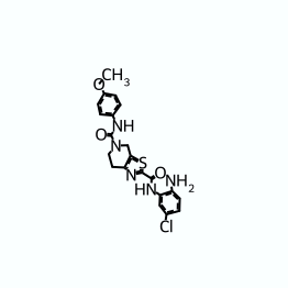 COc1ccc(NC(=O)N2CCc3nc(C(=O)Nc4cc(Cl)ccc4N)sc3C2)cc1